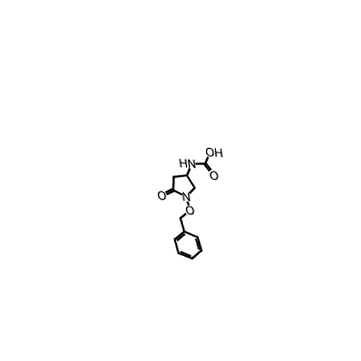 O=C(O)NC1CC(=O)N(OCc2ccccc2)C1